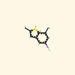 Cc1cc2cc(I)cc(C)c2s1